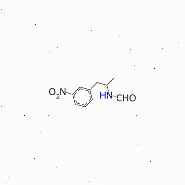 CC(Cc1cccc([N+](=O)[O-])c1)NC=O